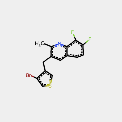 Cc1nc2c(F)c(F)ccc2cc1Cc1cscc1Br